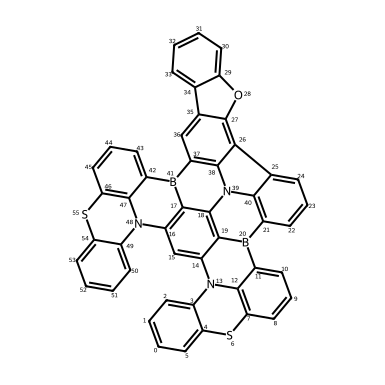 c1ccc2c(c1)Sc1cccc3c1N2c1cc2c4c5c1B3c1cccc3c6c7oc8ccccc8c7cc(c6n-5c13)B4c1cccc3c1N2c1ccccc1S3